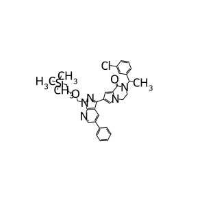 CC(c1cccc(Cl)c1)N1CCn2cc(-c3nn(COCC[Si](C)(C)C)c4ncc(-c5ccccc5)cc34)cc2C1=O